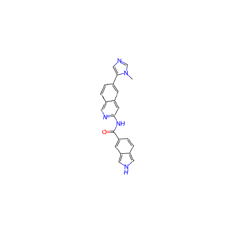 Cn1cncc1-c1ccc2cnc(NC(=O)c3ccc4c[nH]cc4c3)cc2c1